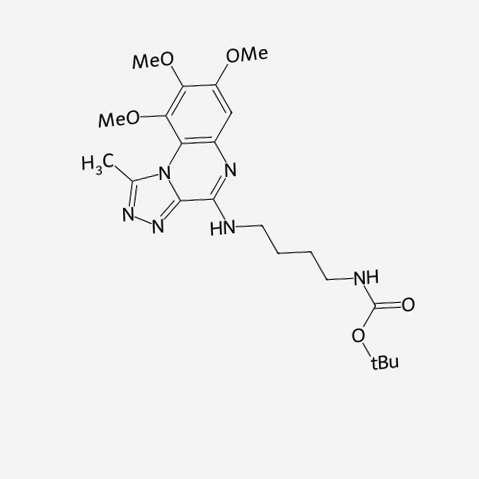 COc1cc2nc(NCCCCNC(=O)OC(C)(C)C)c3nnc(C)n3c2c(OC)c1OC